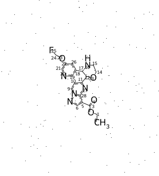 CCOC(=O)c1cnn2ccc(C3OCCNC3c3cncc(OCF)c3)nc12